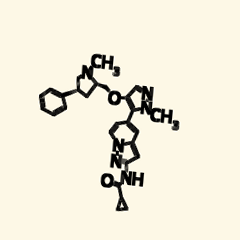 CN1C[C@H](c2ccccc2)C[C@@H]1COc1cnn(C)c1-c1ccn2nc(NC(=O)C3CC3)cc2c1